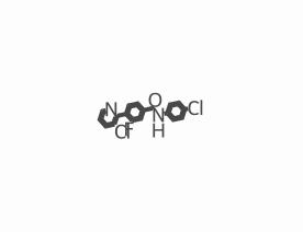 O=C(Nc1ccc(Cl)cc1)c1ccc(-c2ncccc2Cl)c(F)c1